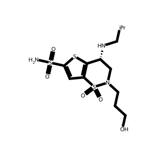 CC(C)CN[C@@H]1CN(CCCO)S(=O)(=O)c2cc(S(N)(=O)=O)sc21